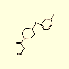 CC(C)(C)OC(=O)N1CCC(Oc2cccc(F)c2)CC1